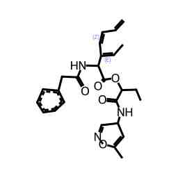 C=C/C=C\C(=C/C)C(NC(=O)Cc1ccccc1)C(=O)OC(CC)C(=O)NC1C=NOC(C)=C1